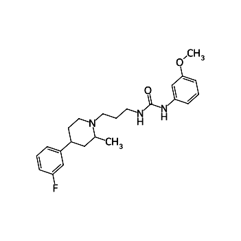 COc1cccc(NC(=O)NCCCN2CCC(c3cccc(F)c3)CC2C)c1